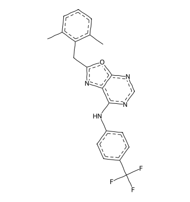 Cc1cccc(C)c1Cc1nc2c(Nc3ccc(C(F)(F)F)cc3)ncnc2o1